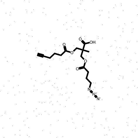 C#CCCCC(=O)OCC(C)(COC(=O)CCCN=[N+]=[N-])C(=O)O